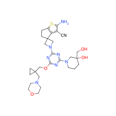 N#Cc1c(N)sc2c1C1(CC2)CN(c2nc(OCC3(CN4CCOCC4)CC3)nc(N3CCCC(O)(CO)C3)n2)C1